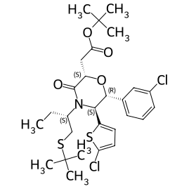 CC[C@@H](CSC(C)(C)C)N1C(=O)[C@H](CC(=O)OC(C)(C)C)O[C@H](c2cccc(Cl)c2)[C@H]1c1ccc(Cl)s1